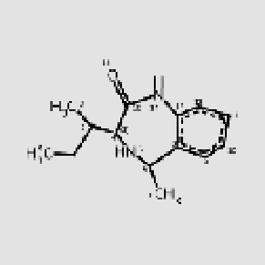 CCC(C)[C@@H]1NC(C)c2ccccc2NC1=O